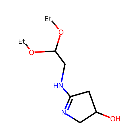 CCOC(CNC1=NCC(O)C1)OCC